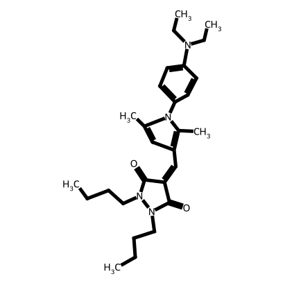 CCCCN1C(=O)C(=Cc2cc(C)n(-c3ccc(N(CC)CC)cc3)c2C)C(=O)N1CCCC